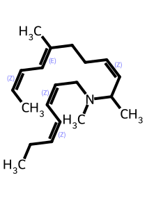 C/C=C\C=C(/C)CC/C=C\C(C)N(C)C/C=C\C=C/CC